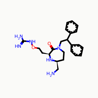 N=C(N)NOCC[C@@H]1N[C@H](CN)CCN(CC(c2ccccc2)c2ccccc2)C1=O